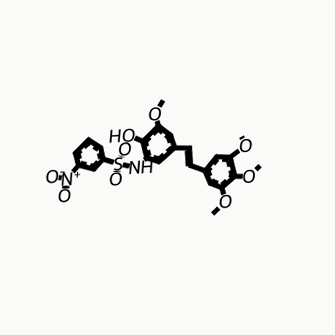 COc1cc(C=Cc2cc(OC)c(OC)c(OC)c2)cc(NS(=O)(=O)c2cccc([N+](=O)[O-])c2)c1O